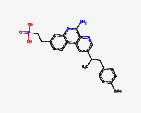 COc1ccc(CC(C)c2cnc3c(N)nc4cc(CCP(=O)(O)O)ccc4c3c2)cc1